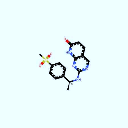 C[C@H](Nc1ncc2ccc(=O)[nH]c2n1)c1ccc(S(C)(=O)=O)cc1